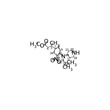 COC(=O)CC(C)c1ccc(N(CC(C)C)C2CCNCC2)c([N+](=O)[O-])c1